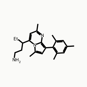 CCC(CCN)c1cc(C)nc2c(-c3c(C)cc(C)cc3C)cc(C)n12